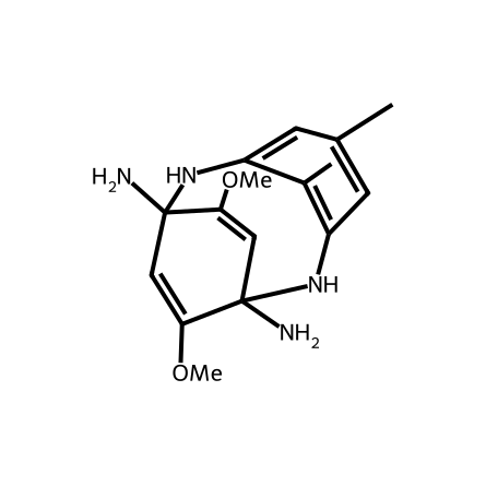 COC1=CC2(N)Nc3cc(C)cc(c3C)NC1(N)C=C2OC